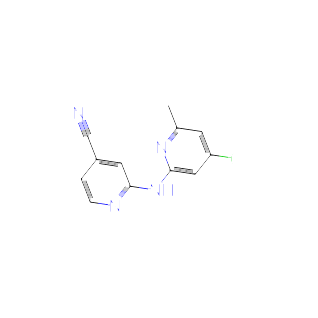 Cc1cc(Cl)cc(Nc2cc(C#N)ccn2)n1